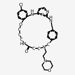 O=C1CCN(CCN2CCOCC2)Cc2ccc(cc2)Nc2nccc(n2)Nc2cc(Cl)ccc2OCCCN1